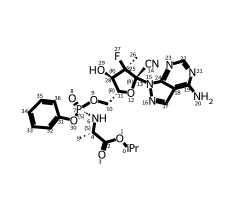 CC(C)OC(=O)[C@H](C)N[P@](=O)(OC[C@H]1O[C@@](C#N)(n2ncc3c(N)ncnc32)[C@](C)(F)[C@@H]1O)Oc1ccccc1